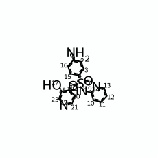 Nc1ccc(S(=O)(=O)Nc2ccccn2)cc1.Oc1cccnc1